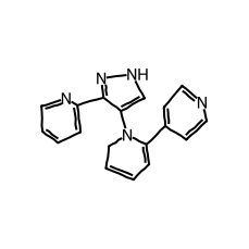 C1=CCN(c2c[nH]nc2-c2ccccn2)C(c2ccncc2)=C1